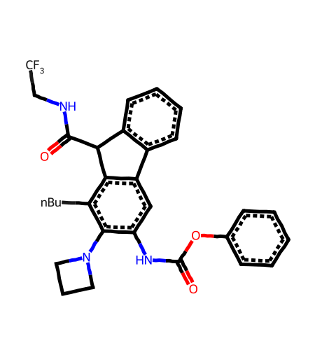 CCCCc1c2c(cc(NC(=O)Oc3ccccc3)c1N1CCC1)-c1ccccc1C2C(=O)NCC(F)(F)F